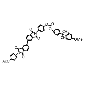 COc1ccc(C(C)(C)c2ccc(OC(=O)Oc3ccc(N4C(=O)c5ccc(-c6ccc7c(c6)C(=O)N(c6ccc(OC(C)=O)cc6)C7=O)cc5C4=O)cc3)cc2)cc1